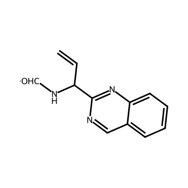 C=CC(N[C]=O)c1ncc2ccccc2n1